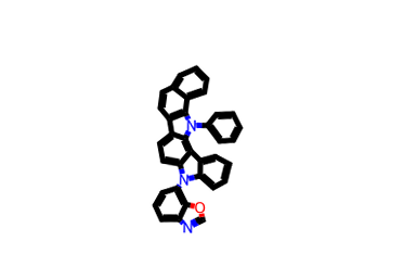 c1ccc(-n2c3c4ccccc4ccc3c3ccc4c(c5ccccc5n4-c4cccc5ncoc45)c32)cc1